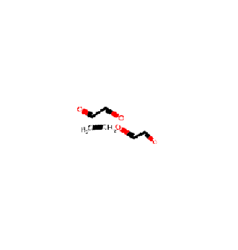 C=C.O=CC=O.O=CC=O